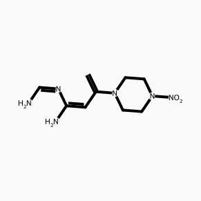 C=C(/C=C(N)\N=C/N)N1CCN([N+](=O)[O-])CC1